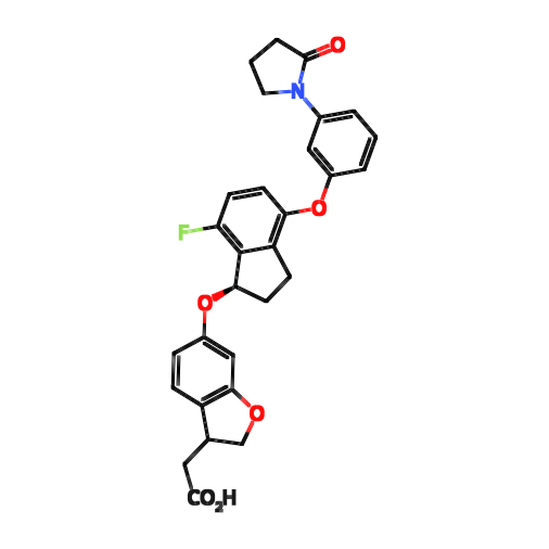 O=C(O)CC1COc2cc(O[C@@H]3CCc4c(Oc5cccc(N6CCCC6=O)c5)ccc(F)c43)ccc21